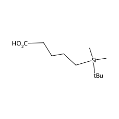 CC(C)(C)[Si](C)(C)CCCCC(=O)O